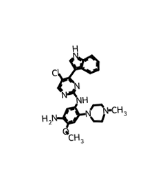 COc1cc(N2CCN(C)CC2)c(Nc2ncc(Cl)c(-c3c[nH]c4ccccc34)n2)cc1N